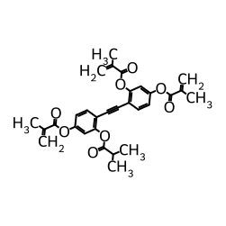 C=C(C)C(=O)Oc1ccc(C#Cc2ccc(OC(=O)C(=C)C)cc2OC(=O)C(C)C)c(OC(=O)C(=C)C)c1